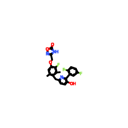 Cc1cc(OCc2noc(=O)[nH]2)c(F)c(C)c1Cc1ccc(O)c(-c2cc(F)ccc2F)n1